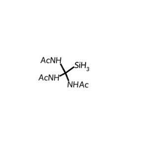 CC(=O)NC([SiH3])(NC(C)=O)NC(C)=O